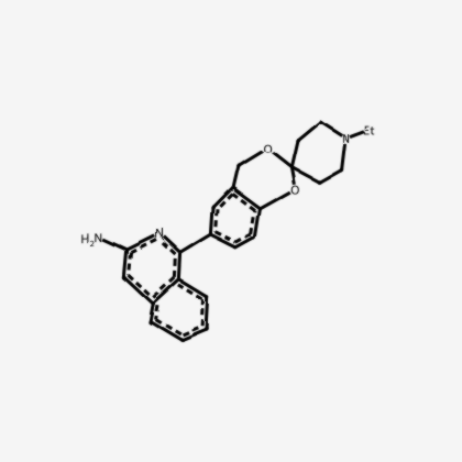 CCN1CCC2(CC1)OCc1cc(-c3nc(N)cc4ccccc34)ccc1O2